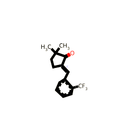 CC1(C)CC/C(=C\c2ccccc2C(F)(F)F)C1=O